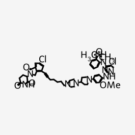 COc1cc(N2CCC(N3CCN(CCCCCC#Cc4cc(Cl)cc5c4CN(C4CCC(=O)NC4=O)C5=O)CC3)CC2)ccc1Nc1ncc(Cl)c(Nc2ccccc2P(C)(C)=O)n1